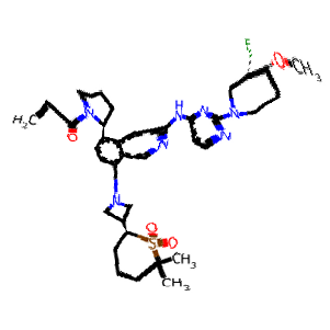 C=CC(=O)N1CCC[C@H]1c1ccc(N2CC([C@@H]3CCCC(C)(C)S3(=O)=O)C2)c2cnc(Nc3ccnc(N4CC[C@@H](OC)[C@@H](F)C4)n3)cc12